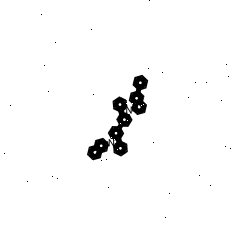 c1ccc(-c2ccc3c(-n4c5ccccc5c5cc(-c6ccc7c(c6)c6ccccc6n7-c6ccc7ccccc7c6)ccc54)cccc3c2)cc1